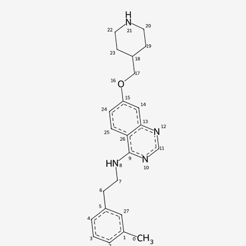 Cc1cccc(CCNc2ncnc3cc(OCC4CCNCC4)ccc23)c1